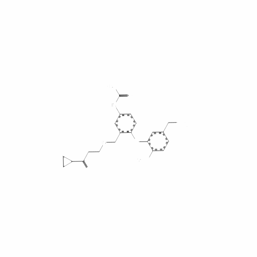 CCOC(=O)Cc1ccc(OC)c(Oc2ccc(NC(=O)C(C)(C)C)cc2CNCCC(=O)C2CC2)c1